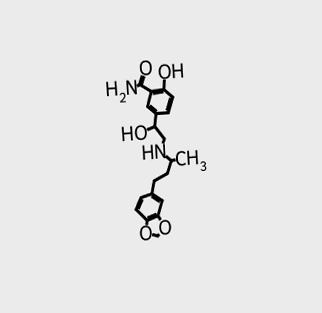 CC(CCc1ccc2c(c1)OCO2)NCC(O)c1ccc(O)c(C(N)=O)c1